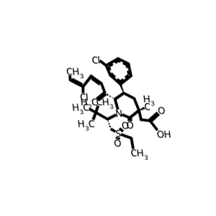 C=C(/C=C\C(Cl)=C/C)[C@@H]1[C@@H](c2cccc(Cl)c2)C[C@](C)(CC(=O)O)C(=O)N1[C@H](CS(=O)(=O)CC)C(C)(C)C